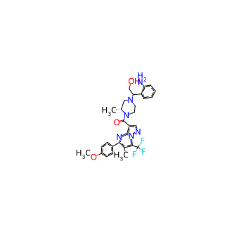 COc1ccc(-c2nc3c(C(=O)N4CCN(C(CO)c5ccccc5N)C[C@H]4C)cnn3c(C(F)(F)F)c2C)cc1